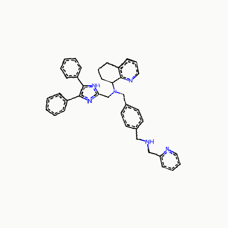 c1ccc(-c2nc(CN(Cc3ccc(CNCc4ccccn4)cc3)C3CCCc4cccnc43)[nH]c2-c2ccccc2)cc1